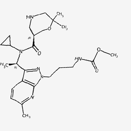 COC(=O)NCCCn1nc([C@@H](C)N(C(=O)[C@H]2CNCC(C)(C)O2)C2CC2)c2ccc(C)nc21